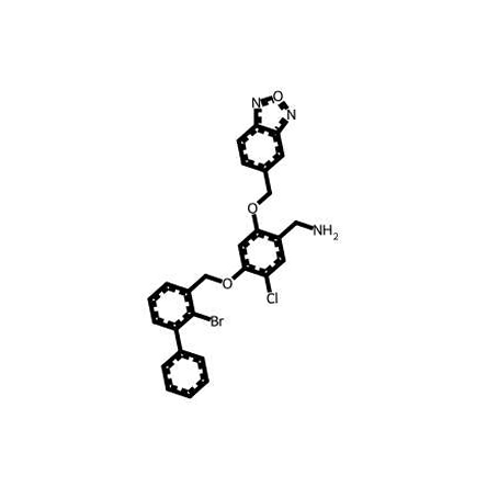 NCc1cc(Cl)c(OCc2cccc(-c3ccccc3)c2Br)cc1OCc1ccc2nonc2c1